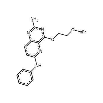 CCCOCCOc1nc(N)nc2ccc(Nc3ccccc3)nc12